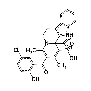 CC1=C(C(=O)O)C2(C(=O)O)c3[nH]c4ccccc4c3CCN2C(C)=C1C(=O)c1cc(Cl)ccc1O